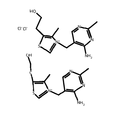 Cc1ncc(C[n+]2csc(CCO)c2C)c(N)n1.Cc1ncc(C[n+]2csc(CCO)c2C)c(N)n1.[Cl-].[Cl-]